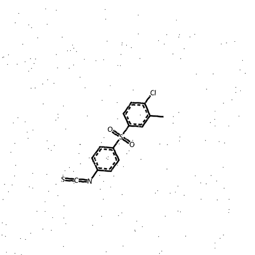 Cc1cc(S(=O)(=O)c2ccc(N=C=S)cc2)ccc1Cl